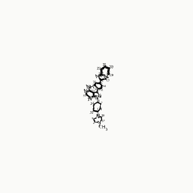 CN1CCN([C@H]2CC[C@@H](n3nc(-c4ccc(-c5cn6ccccc6n5)cc4)c4c(N)ncnc43)CC2)CC1